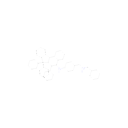 C1CCC(CNCC2CCC(NC3C4CCCCC4C4C5CCCCC5C(C5CCCCC5)(C5CCCCC5)C4C3C3CCCCC3)CC2)CC1